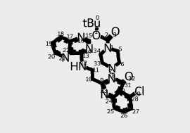 CC(C)(C)OC(=O)N1CCN(n2c(CCNc3ncnc4cccnc34)nc3cccc(Cl)c3c2=O)CC1